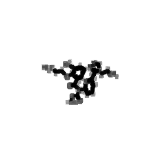 C=CCOc1c(Br)cccc1C(=O)N(C(=O)OC(C)(C)C)c1cccc(-c2nncn2CC=C)n1